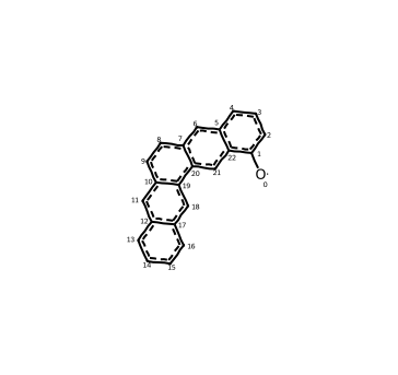 [O]c1cccc2cc3ccc4cc5ccccc5cc4c3cc12